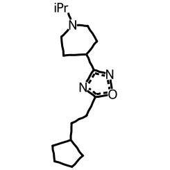 CC(C)N1CCC(c2noc(CCC3CCCC3)n2)CC1